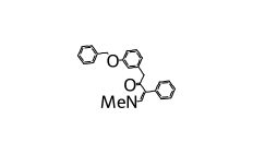 CN/C=C(\C(=O)Cc1cccc(OCc2ccccc2)c1)c1ccccc1